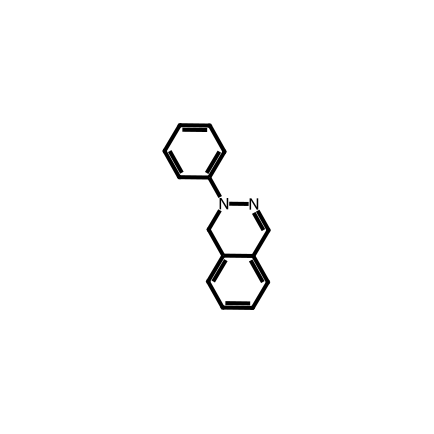 C1=NN(c2ccccc2)Cc2ccccc21